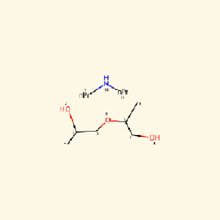 CC(O)COC(C)CO.CCCNCCC